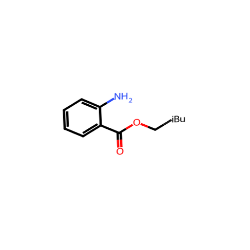 CCC(C)COC(=O)c1ccccc1N